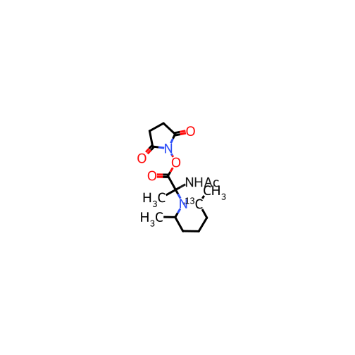 CC(=O)NC(C)(C(=O)ON1C(=O)CCC1=O)N1C(C)CCC[13CH]1C